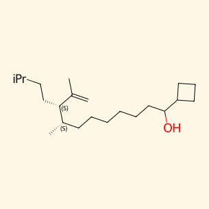 C=C(C)[C@@H](CCC(C)C)[C@@H](C)CCCCCCC(O)C1CCC1